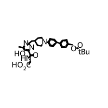 Cc1nc(CC2CCN(c3ccc(-c4ccc(COC(=O)C(C)(C)C)cc4)cc3)CC2)nc(C(=O)NCC(=O)O)c1O